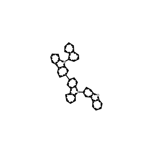 c1ccc2c(-n3c4ccccc4c4ccc(-c5ccc6c(c5)c5ccccc5n6-c5ccc6oc7ccccc7c6c5)cc43)cccc2c1